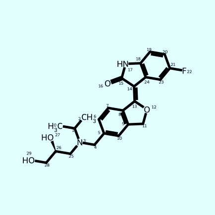 CC(C)N(Cc1ccc2c(c1)COC2=C1C(=O)Nc2ccc(F)cc21)C[C@H](O)CO